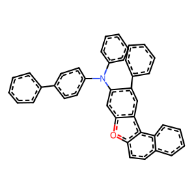 c1ccc(-c2ccc(N(c3ccccc3)c3cc4oc5ccc6ccccc6c5c4cc3-c3ccccc3)cc2)cc1